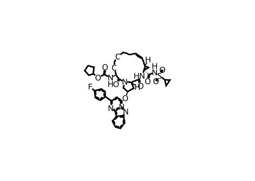 O=C(N[C@H]1CCCCC/C=C\[C@@H]2C[C@@]2(C(=O)NS(=O)(=O)C2CC2)NC(=O)[C@@H]2C[C@@H](Oc3cc(-c4ccc(F)cc4)nc4c5ccccc5nn34)CN2C1=O)OC1CCCC1